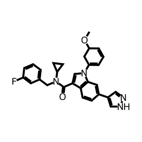 COC1C=CC=C(n2cc(C(=O)N(Cc3cccc(F)c3)C3CC3)c3ccc(-c4cn[nH]c4)cc32)C1